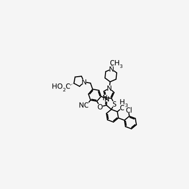 CC1C(c2ccccc2Cl)=CC=CC1(Sc1cn(C2CCN(C)CC2)cn1)c1nc2cc(CN3CC[C@@H](C(=O)O)C3)cc(C#N)c2o1